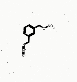 [N-]=[N+]=NCc1[c]ccc(CO[N+](=O)[O-])c1